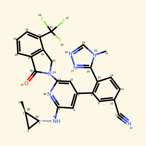 C[C@@H]1C[C@H]1Nc1cc(-c2cc(C#N)ccc2-c2nncn2C)cc(N2Cc3c(cccc3C(F)(F)F)C2=O)n1